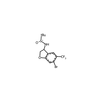 CC(C)(C)[S+]([O-])NC1COc2cc(Br)c(C(F)(F)F)cc21